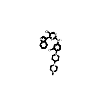 CN1CCN(C2CCN(c3ccc(Nc4ncc(Cl)c(-c5csc6ccccc56)n4)cc3Cl)CC2)CC1